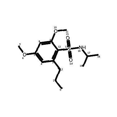 CCCc1cc(OC)cc(OC)c1S(=O)(=O)NC(C)C